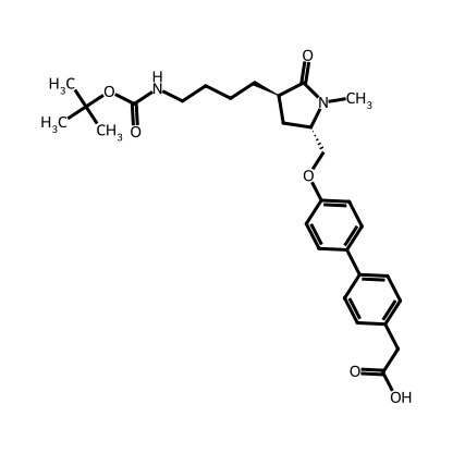 CN1C(=O)[C@H](CCCCNC(=O)OC(C)(C)C)C[C@H]1COc1ccc(-c2ccc(CC(=O)O)cc2)cc1